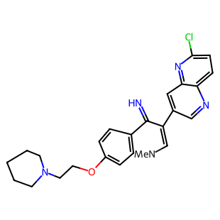 CN/C=C(\C(=N)c1ccc(OCCN2CCCCC2)cc1)c1cnc2ccc(Cl)nc2c1